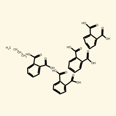 C.C.C.C.O=C(O)c1ccccc1C(=O)O.O=C(O)c1ccccc1C(=O)O.O=C(O)c1ccccc1C(=O)O.O=C(O)c1ccccc1C(=O)O